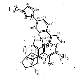 CC(=O)c1c([C@H]2C[C@H]3CC[C@@H](C2)N3C(=O)c2ccn[nH]2)nc2c(-c3ccc(-n4cc(C)cn4)nc3)cnn2c1N